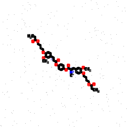 [C-]#[N+]/C(=C\c1ccc(OCCCCOC(=O)C=C)c(OC)c1)C(=O)Oc1ccc(OC(=O)/C=C/c2ccc(OCCCCOC(=O)C=C)c(OC)c2)cc1